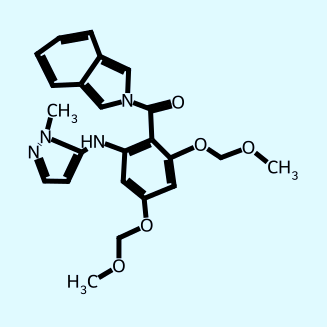 COCOc1cc(Nc2ccnn2C)c(C(=O)n2cc3ccccc3c2)c(OCOC)c1